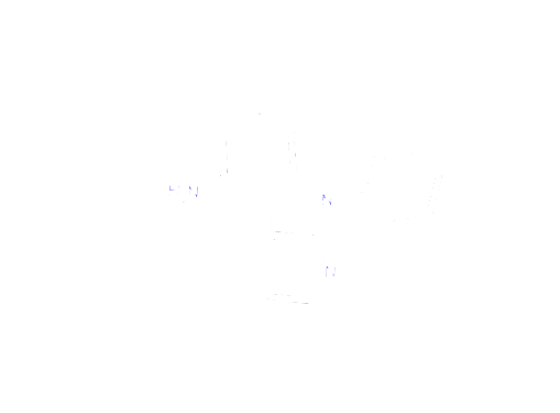 Nc1cccc2c1c1cccnc1n2-c1ccccc1